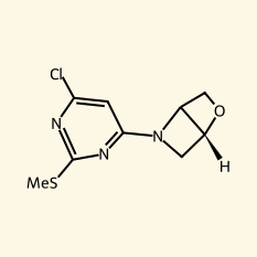 CSc1nc(Cl)cc(N2C[C@H]3OCC32)n1